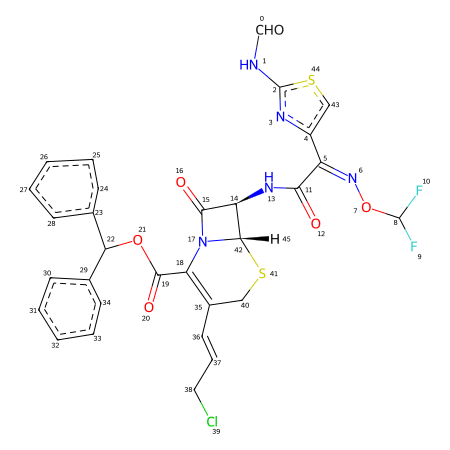 O=CNc1nc(/C(=N/OC(F)F)C(=O)N[C@@H]2C(=O)N3C(C(=O)OC(c4ccccc4)c4ccccc4)=C(/C=C/CCl)CS[C@@H]23)cs1